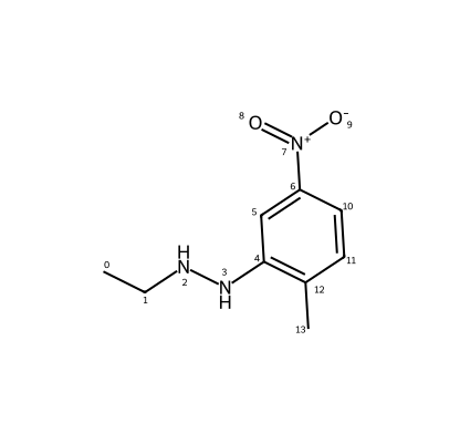 CCNNc1cc([N+](=O)[O-])ccc1C